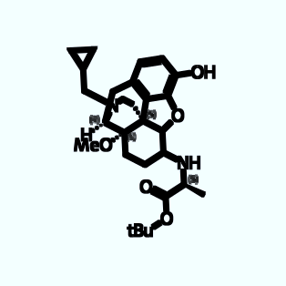 CO[C@@]12CCC(N[C@@H](C)C(=O)OC(C)(C)C)C3Oc4c(O)ccc5c4[C@@]31CCN(CC1CC1)[C@@H]2C5